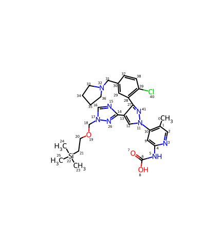 Cc1cnc(NC(=O)O)cc1-n1cc(-c2ncn(COCC[Si](C)(C)C)n2)c(-c2cc(CN3CCCC3)ccc2Cl)n1